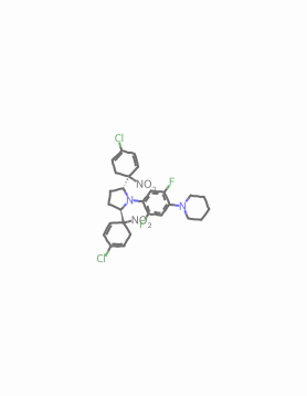 O=[N+]([O-])C1([C@H]2CC[C@H](C3([N+](=O)[O-])C=CC(Cl)=CC3)N2c2cc(F)c(N3CCCCC3)cc2F)C=CC(Cl)=CC1